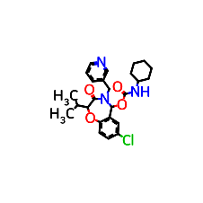 CC(C)C1Oc2ccc(Cl)cc2C(OC(=O)NC2CCCCC2)N(Cc2cccnc2)C1=O